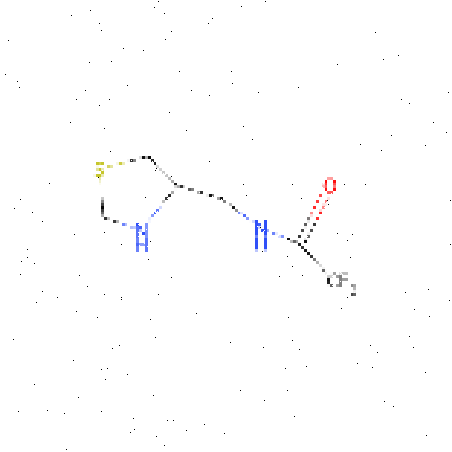 O=C(NCC1CSCN1)C(F)(F)F